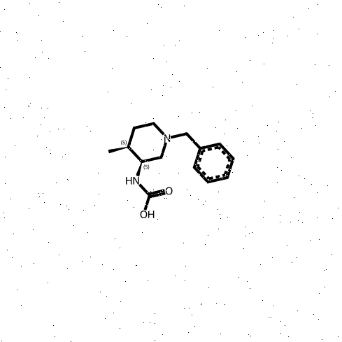 C[C@H]1CCN(Cc2ccccc2)C[C@H]1NC(=O)O